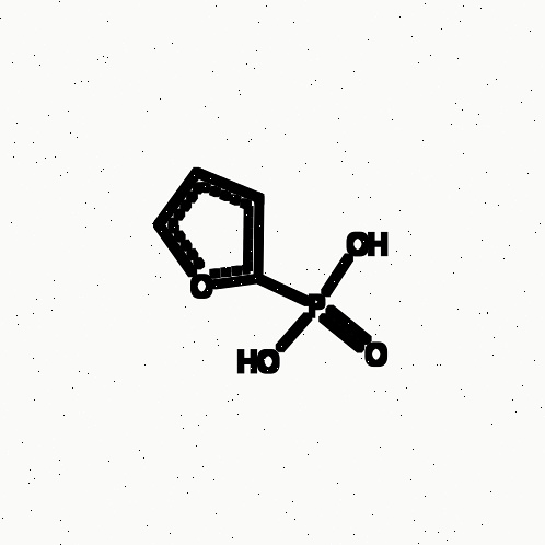 O=P(O)(O)c1ccco1